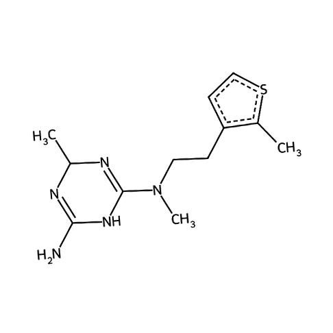 Cc1sccc1CCN(C)C1=NC(C)N=C(N)N1